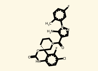 Cc1ccc(F)cc1-n1ncc(C(=O)N2CCC[C@@]3(C2)OC(=O)Nc2ccc(Cl)c(F)c23)c1N